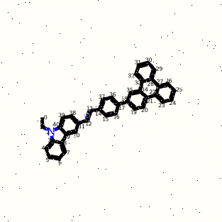 CCn1c2ccccc2c2cc(/C=C/c3ccc(-c4ccc5c6ccccc6c6ccccc6c5c4)cc3)ccc21